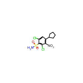 NS(=O)(=O)c1c(Cl)cc(C2CCCC2)c([N+](=O)[O-])c1Cl